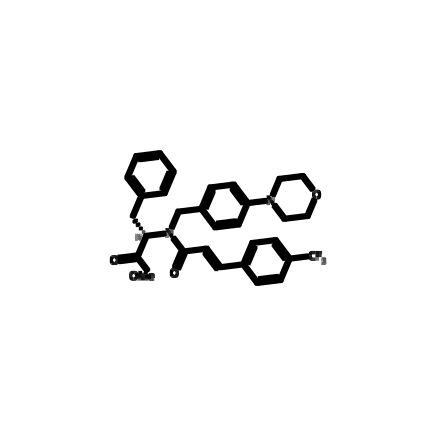 COC(=O)[C@H](Cc1ccccc1)N(Cc1ccc(N2CCOCC2)cc1)C(=O)C=Cc1ccc(C(F)(F)F)cc1